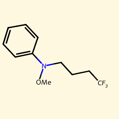 CON(CCCC(F)(F)F)c1ccccc1